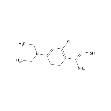 CCN(CC)C1=CC(Cl)=C(/C(N)=C/S)CC1